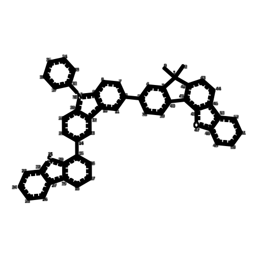 CC1(C)c2cc(-c3ccc4c(c3)c3cc(-c5cccc6c5sc5ccccc56)ccc3n4-c3ccccc3)ccc2-c2c1ccc1c2oc2ccccc21